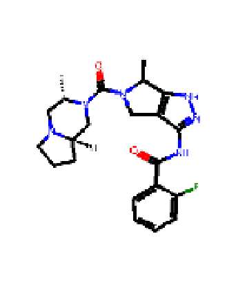 CC1c2[nH]nc(NC(=O)c3ccccc3F)c2CN1C(=O)N1C[C@@H]2CCCN2C[C@@H]1C